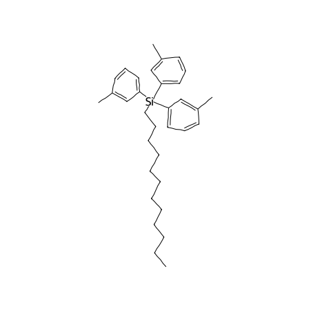 CCCCCCCCCCCC[Si](c1cccc(C)c1)(c1cccc(C)c1)c1cccc(C)c1